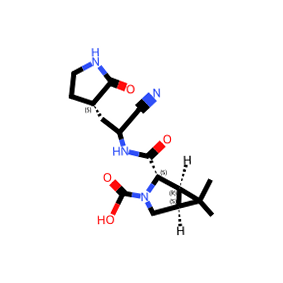 CC1(C)[C@@H]2[C@@H](C(=O)NC(C#N)C[C@@H]3CCNC3=O)N(C(=O)O)C[C@@H]21